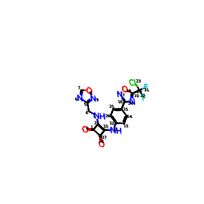 O=c1c(NCc2ncon2)c(Nc2ccc(-c3noc(C(F)(F)Cl)n3)cc2)c1=O